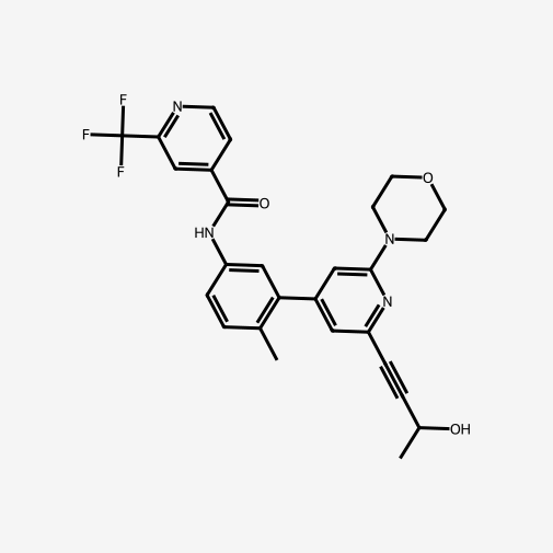 Cc1ccc(NC(=O)c2ccnc(C(F)(F)F)c2)cc1-c1cc(C#CC(C)O)nc(N2CCOCC2)c1